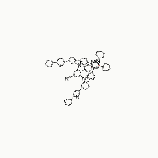 N#Cc1cc(-n2c3cc(-c4ccc(-c5ccccc5)nc4)ccc3c3ccc(-c4ccc(-c5ccccc5)nc4)cc32)c(-c2c(F)cccc2F)c(-n2c3cc(-c4ccc(-c5ccccc5)nc4)ccc3c3ccc(-c4ccc(-c5ccccc5)nc4)cc32)c1